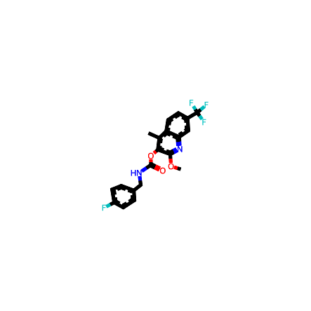 COc1nc2cc(C(F)(F)F)ccc2c(C)c1OC(=O)NCc1ccc(F)cc1